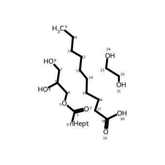 CCCCCCCC(=O)OCC(O)CO.CCCCCCCCCC(=O)O.OCCO